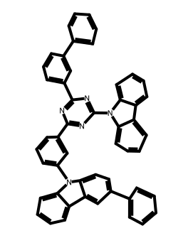 c1ccc(-c2cccc(-c3nc(-c4cccc(-n5c6ccccc6c6cc(-c7ccccc7)ccc65)c4)nc(-n4c5ccccc5c5ccccc54)n3)c2)cc1